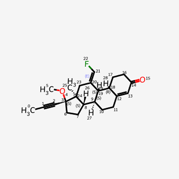 CC#C[C@]1(OC)CC[C@H]2[C@@H]3CCC4=CC(=O)CC[C@@H]4[C@H]3/C(=C/F)C[C@@]21C